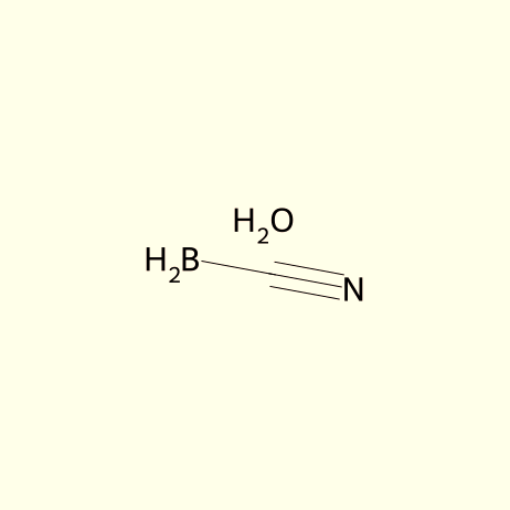 BC#N.O